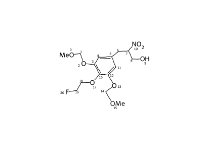 COCOc1cc(CC(CO)[N+](=O)[O-])cc(OCOC)c1OCCF